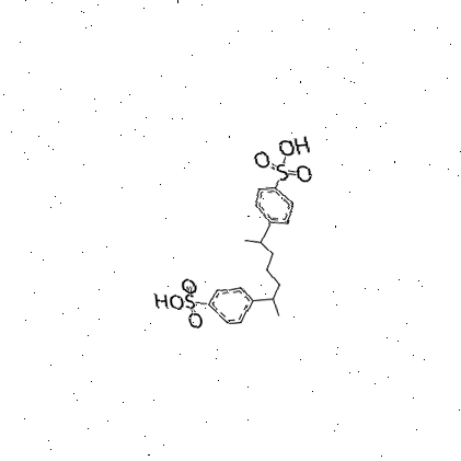 CC(CCCC(C)c1ccc(S(=O)(=O)O)cc1)c1ccc(S(=O)(=O)O)cc1